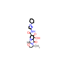 C[C@@H]1CCO[C@H]2Cn3cc(C(=O)Nc4ccn(-c5ccccc5)n4)c(=O)c(O)c3C(=O)N12